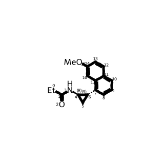 CCC(=O)N[C@@H]1C[C@H]1c1cccc2ccc(OC)cc12